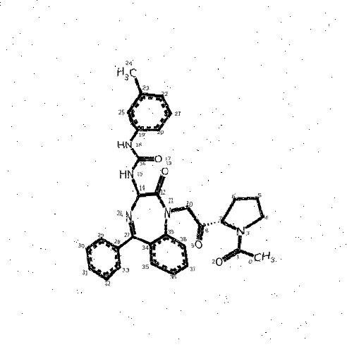 CC(=O)N1CCC[C@H]1C(=O)CN1C(=O)C(NC(=O)Nc2cccc(C)c2)N=C(c2ccccc2)c2ccccc21